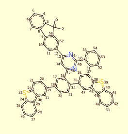 CC1(C)c2ccccc2-c2ccc(-c3cc(-c4cc(-c5ccc6sc7ccccc7c6c5)ccc4-c4ccc5sc6ccccc6c5c4)nc(-c4ccccc4)n3)cc21